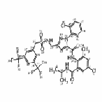 Cc1cc(Cl)cc(C(=O)NC(C)C)c1NC(=O)c1cc(CNS(=O)(=O)Cc2cc(C(F)(F)F)cc(C(F)(F)F)c2)nn1-c1ncccc1Cl